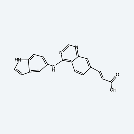 O=C(O)C=Cc1ccc2c(Nc3ccc4[nH]ccc4c3)ncnc2c1